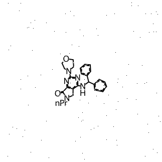 CCCN1Cc2c(NC(c3ccccc3)c3ccccc3)nc(N3CCOCC3)nc2C1=O